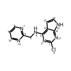 Clc1nc(NCc2ncccn2)c2cc[nH]c2n1